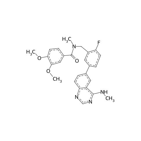 CNc1ncnc2ccc(-c3ccc(F)c(CN(C)C(=O)c4ccc(OC)c(OC)c4)c3)cc12